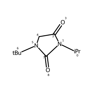 CC(C)N1C(=O)CN(C(C)(C)C)C1=O